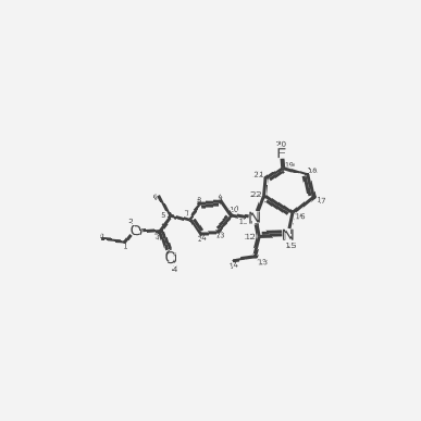 CCOC(=O)C(C)c1ccc(-n2c(CC)nc3ccc(F)cc32)cc1